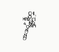 Cc1ccc2c(-c3nc(Nc4cc(C5CC5)cc(N5CCC(N6CCOCC6)CC5)c4)ncc3Cl)c[nH]c2c1